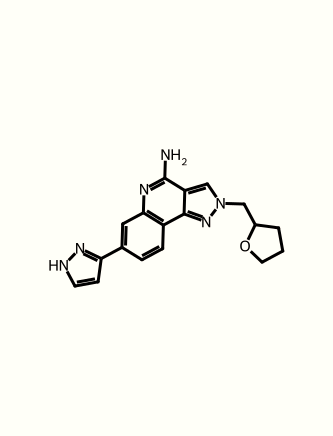 Nc1nc2cc(-c3cc[nH]n3)ccc2c2nn(CC3CCCO3)cc12